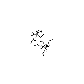 CCOP(=O)(O)CC.CCO[Si](CC)(OCC)OCC